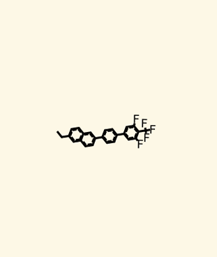 CCc1ccc2cc(-c3ccc(-c4cc(F)c(C(F)(F)F)c(F)c4)cc3)ccc2c1